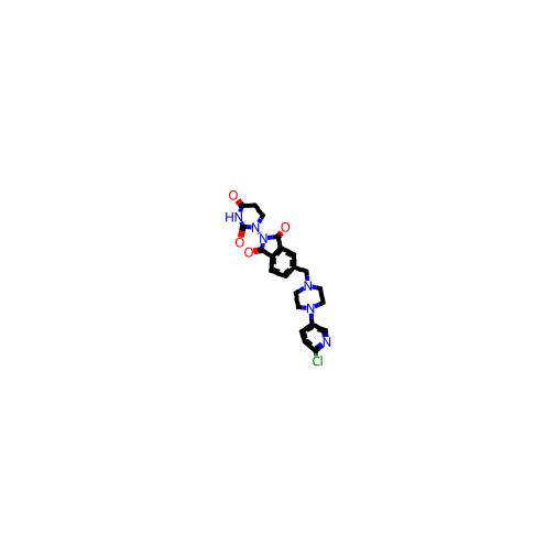 O=C1CCN(N2C(=O)c3ccc(CN4CCN(c5ccc(Cl)nc5)CC4)cc3C2=O)C(=O)N1